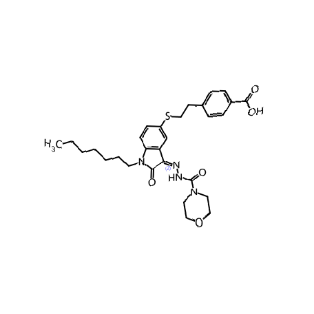 CCCCCCCN1C(=O)/C(=N\NC(=O)N2CCOCC2)c2cc(SCCc3ccc(C(=O)O)cc3)ccc21